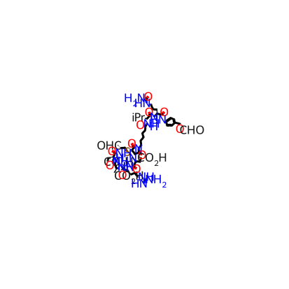 CC(C)[C@H](NC(=O)CCCCCN1C(=O)CC(SC[C@@H](C=O)NC(=O)[C@H](CC(=O)O)NC(=O)[C@H](CC(=O)O)NC(=O)[C@H](CCCNC(=N)N)NC(=O)[C@@H](N)CC(=O)O)C1=O)C(=O)N[C@@H](CCCNC(N)=O)C(=O)Nc1ccc(COC=O)cc1